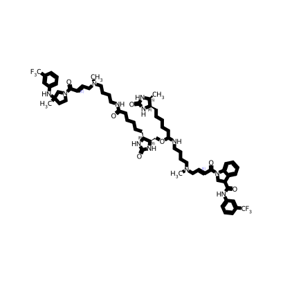 C[C@@H]1NC(=O)N[C@@H]1CCCCCC(NCCCCN(C)C/C=C/C(=O)N1CC(C(=O)Nc2cccc(C(F)(F)F)c2)c2ccccc21)OC[C@@H]1NC(=O)N[C@@H]1CCCCCC(=O)NCCCCN(C)C/C=C/C(=O)N1CCC(C)(Nc2cccc(C(F)(F)F)c2)C1